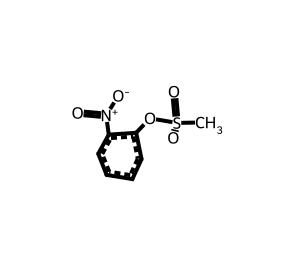 CS(=O)(=O)Oc1ccccc1[N+](=O)[O-]